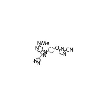 CNc1cc2c(cn1)c(-c1cnn(C)c1)nn2C1CCC(Oc2ccnc(C#N)n2)CC1